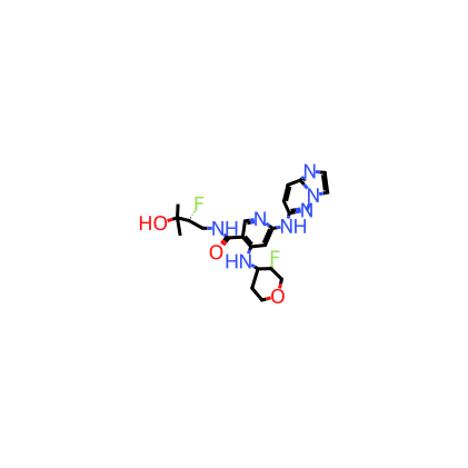 CC(C)(O)[C@H](F)CNC(=O)c1cnc(Nc2ccc3nccn3n2)cc1NC1CCOCC1F